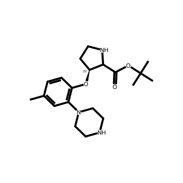 Cc1ccc(O[C@H]2CCNC2C(=O)OC(C)(C)C)c(N2CCNCC2)c1